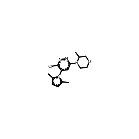 Cc1ccc(C)n1-c1cc(N2CCOCC2C)nnc1Cl